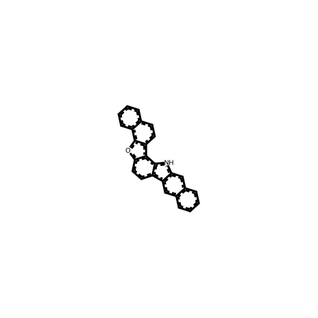 c1ccc2cc3c(cc2c1)[nH]c1c3ccc2oc3c4ccccc4ccc3c21